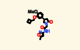 COc1ccc([C@H]2CC(=O)N(CC(=O)Nc3cc(C)on3)C2)cc1OCC1CCC1